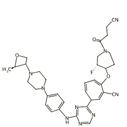 C[C@H]1OCC1N1CCN(c2ccc(Nc3ncnc(C4C=CC=C(OC5CCN(C(=O)CCC#N)C[C@H]5F)C(C#N)=C4)n3)cc2)CC1